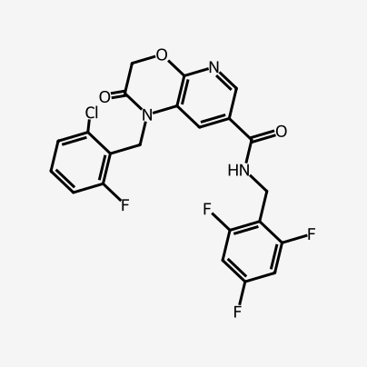 O=C(NCc1c(F)cc(F)cc1F)c1cnc2c(c1)N(Cc1c(F)cccc1Cl)C(=O)CO2